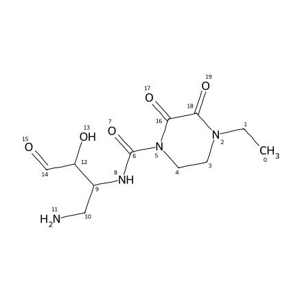 CCN1CCN(C(=O)NC(CN)C(O)C=O)C(=O)C1=O